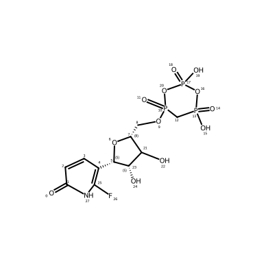 O=c1ccc([C@@H]2O[C@H](COP3(=O)CP(=O)(O)OP(=O)(O)O3)C(O)[C@@H]2O)c(F)[nH]1